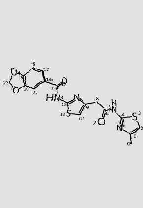 Cc1csc(NC(=O)Cc2csc(NC(=O)c3ccc4c(c3)OCO4)n2)n1